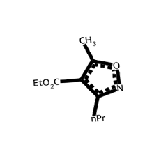 CCCc1noc(C)c1C(=O)OCC